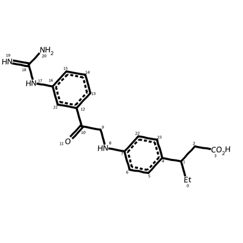 CCC(CC(=O)O)c1ccc(NCC(=O)c2cccc(NC(=N)N)c2)cc1